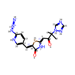 CC(C)(C(=O)/C=c1\[nH]c(=O)/c(=C/c2ccc(N=[N+]=[N-])nc2)s1)n1cncn1